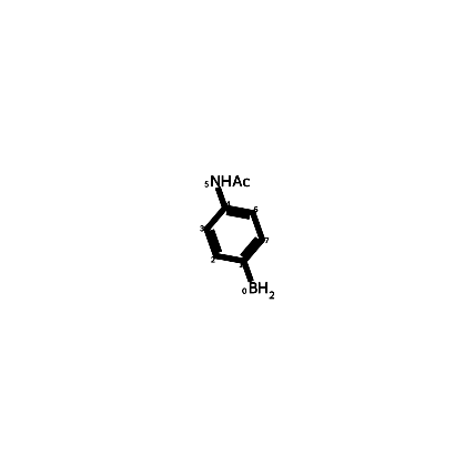 Bc1ccc(NC(C)=O)cc1